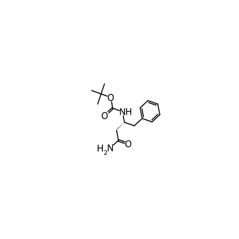 CC(C)(C)OC(=O)N[C@@H](CC(N)=O)Cc1ccccc1